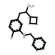 O=C(O)C(Cc1ccc(Cl)c(NCc2ccccc2)c1)C1CCC1